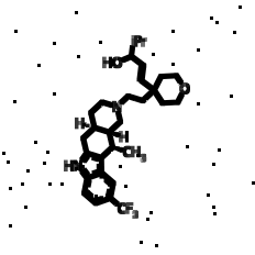 CC(C)C(O)/C=C/C1(CCN2CC[C@@H]3Cc4[nH]c5ccc(C(F)(F)F)cc5c4[C@H](C)[C@H]3C2)CCOCC1